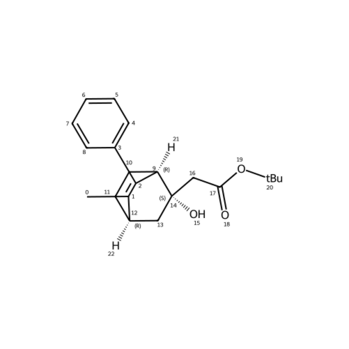 CC1=C(c2ccccc2)[C@H]2CC[C@@H]1C[C@]2(O)CC(=O)OC(C)(C)C